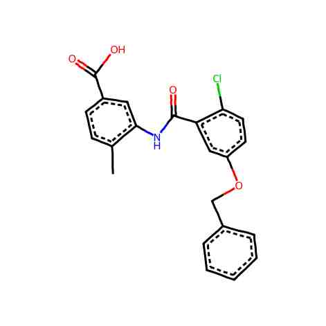 Cc1ccc(C(=O)O)cc1NC(=O)c1cc(OCc2ccccc2)ccc1Cl